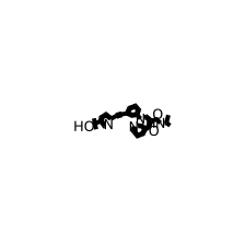 CC(C)NC(=O)c1cn(-c2cccc(C#Cc3ccc(C(C)(C)O)cn3)c2)c2ncccc2c1=O